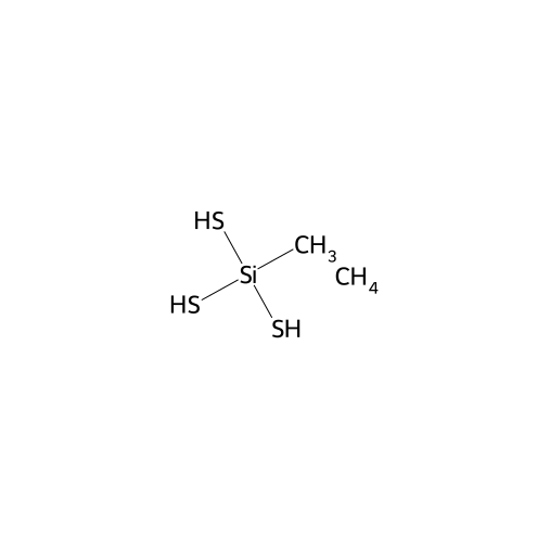 C.C[Si](S)(S)S